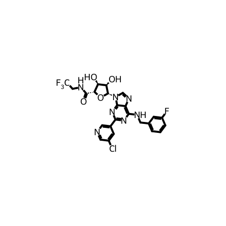 O=C(NCC(F)(F)F)[C@H]1O[C@@H](n2cnc3c(NCc4cccc(F)c4)nc(-c4cncc(Cl)c4)nc32)[C@H](O)[C@@H]1O